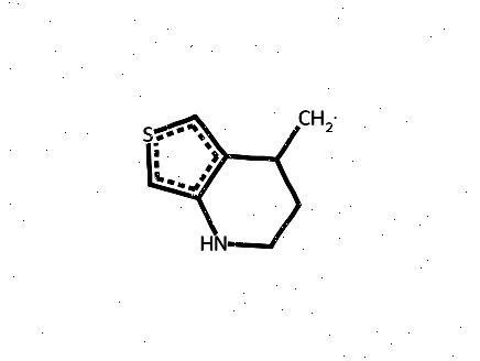 [CH2]C1CCNc2cscc21